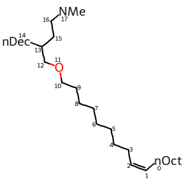 CCCCCCCC/C=C\CCCCCCCCOCC(CCCCCCCCCC)CCNC